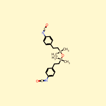 C[Si](C)(CCc1ccc(N=C=O)cc1)O[Si](C)(C)CCc1ccc(N=C=O)cc1